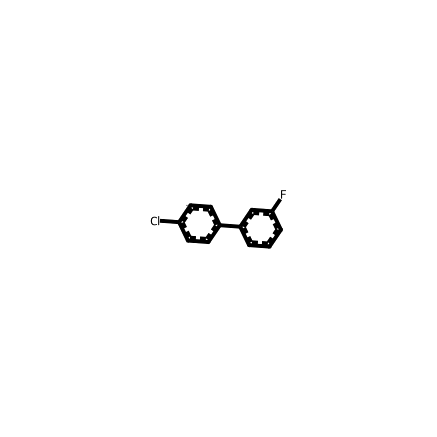 Fc1cccc(-c2c[c]c(Cl)cc2)c1